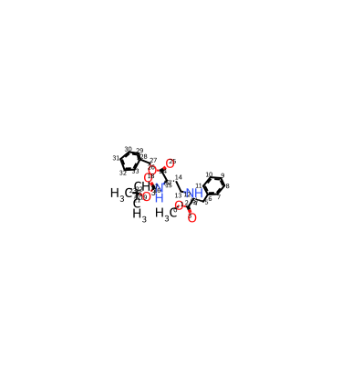 COC(=O)[C@H](Cc1ccccc1)NCC[C@H](NC(=O)OC(C)(C)C)C(=O)OCc1ccccc1